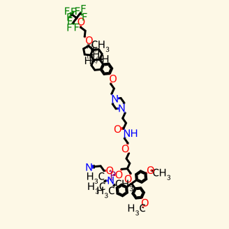 COc1ccc(C(OCC(CCCOCCNC(=O)CCCN2CCN(CCCOc3ccc4c(c3)CC[C@@H]3[C@@H]4CC[C@]4(C)[C@@H](OCCCOC(C(F)(F)F)(C(F)(F)F)C(F)(F)F)CC[C@@H]34)CC2)COP(OCCC#N)N(C(C)C)C(C)C)(c2ccccc2)c2ccc(OC)cc2)cc1